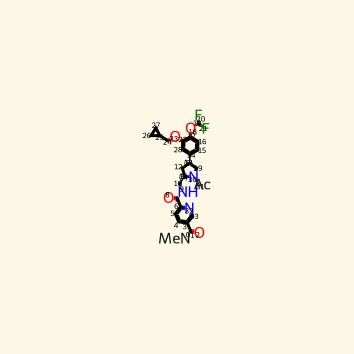 CNC(=O)c1ccc(C(=O)NC[C@H]2C[C@@H](c3ccc(OC(F)F)c(OCC4CC4)c3)CN2C(C)=O)nc1